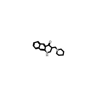 O=C1c2cc3ccccc3cc2NCC1CN1CCCCC1